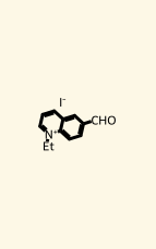 CC[n+]1cccc2cc(C=O)ccc21.[I-]